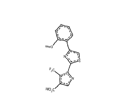 COc1ccccc1-c1csc(-n2ncc(C(=O)O)c2C(F)(F)F)n1